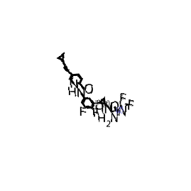 N/C(=N/C(F)F)ON[C@@H]1C[C@@H]1c1cc(NC(=O)c2ccc(C#CC3CC3)cn2)cc(F)c1F